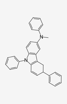 CN(c1ccccc1)c1ccc2c(c1)c1c(n2-c2ccccc2)C=CC(c2ccccc2)C1